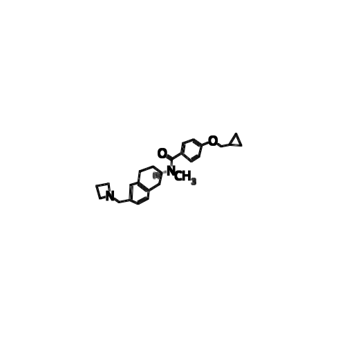 CN(C(=O)c1ccc(OCC2CC2)cc1)[C@H]1CCc2cc(CN3CCC3)ccc2C1